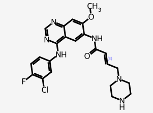 COc1cc2ncnc(Nc3ccc(F)c(Cl)c3)c2cc1NC(=O)/C=C/CN1CCNCC1